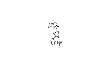 CC(=O)Nc1ccccc1-c1nccc(-c2cc3n(n2)CCNC3=O)n1